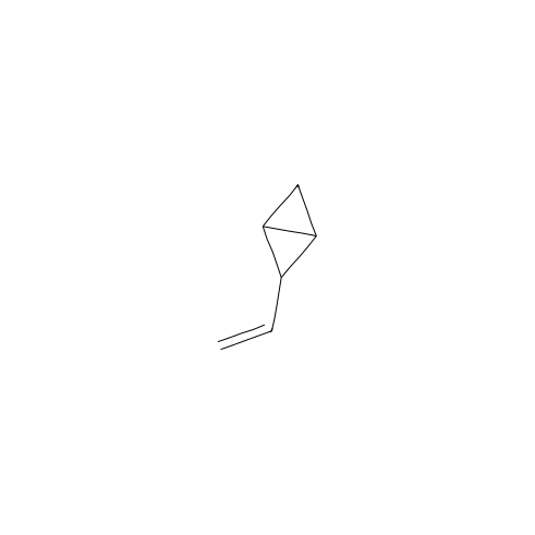 C=CC1C2CC12